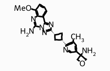 COc1cccc2c1nc(N)n1nc([C@H]3C[C@@H](c4ncc(C5(N)COC5)cc4C)C3)nc21